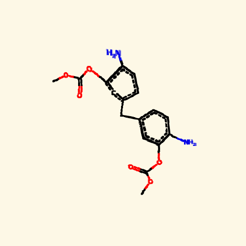 COC(=O)Oc1cc(Cc2ccc(N)c(OC(=O)OC)c2)ccc1N